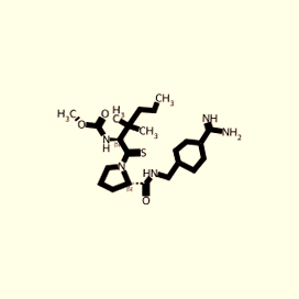 CCCC(C)(C)[C@H](NC(=O)OC)C(=S)N1CCC[C@H]1C(=O)NCC1CCC(C(=N)N)CC1